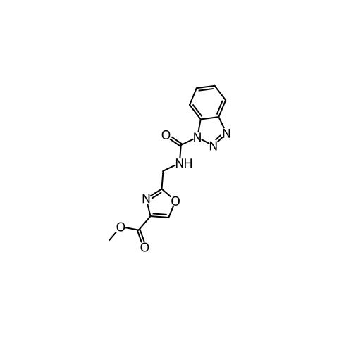 COC(=O)c1coc(CNC(=O)n2nnc3ccccc32)n1